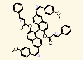 COc1ccc(/C=C\c2ccc3c(-c4c(OC(=O)/C=C/c5ccccc5)ccc5cc(/C=C\c6ccc(OC)cc6)ccc45)c(OC(=O)/C=C/c4ccccc4)ccc3c2)cc1